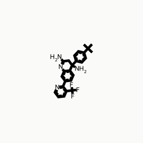 CC(C)(C)c1ccc(C2(N)CC(N)=Nc3cc(-c4ncccc4C(F)(F)F)ccc32)cc1